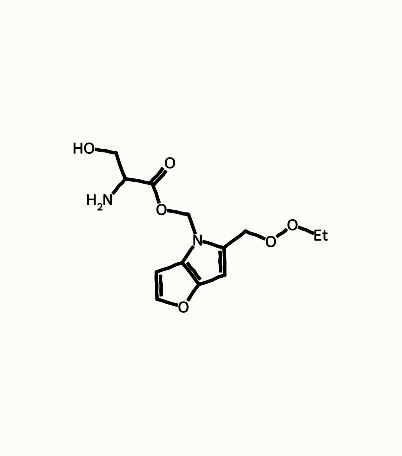 CCOOCc1cc2occc2n1COC(=O)C(N)CO